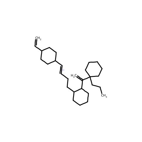 C=CC1CCC(/C=C/CCC2CCCCC2C(=C)C2(CCC)CCCCC2)CC1